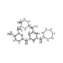 Bc1cc(Nc2nc(NC3CCCCCC3)nc(N(C)C3CCNCC3)n2)ccc1O